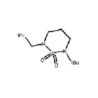 CC(C)CN1CCCN(C(C)(C)C)S1(=O)=O